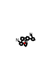 N#Cc1ccccc1-c1ccc2c3cccc(-c4c(C#N)cccc4C#N)c3n(-c3ccccc3)c2c1